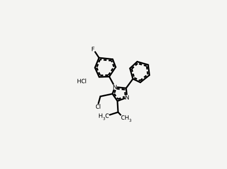 CC(C)c1nc(-c2ccccc2)n(-c2ccc(F)cc2)c1CCl.Cl